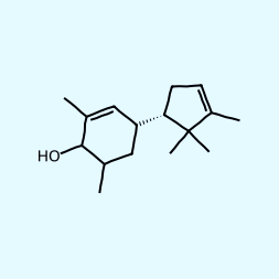 CC1=CC([C@@H]2CC=C(C)C2(C)C)CC(C)C1O